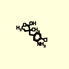 CCC(C)(Cc1ccc(Cl)c(N)c1)C(=O)O